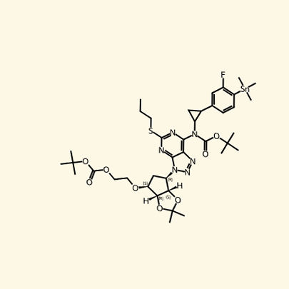 CCCSc1nc(N(C(=O)OC(C)(C)C)C2CC2c2cc[c]([Sn]([CH3])([CH3])[CH3])c(F)c2)c2nnn([C@@H]3C[C@H](OCCOC(=O)OC(C)(C)C)[C@H]4OC(C)(C)O[C@H]43)c2n1